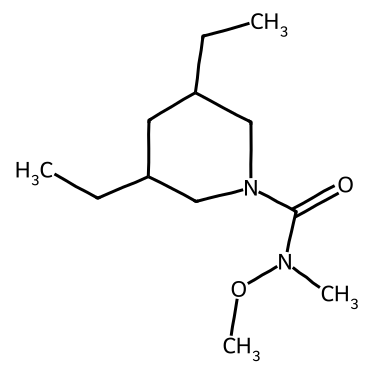 CCC1CC(CC)CN(C(=O)N(C)OC)C1